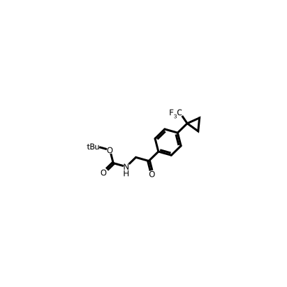 CC(C)(C)OC(=O)NCC(=O)c1ccc(C2(C(F)(F)F)CC2)cc1